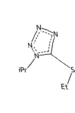 CCSc1nnnn1C(C)C